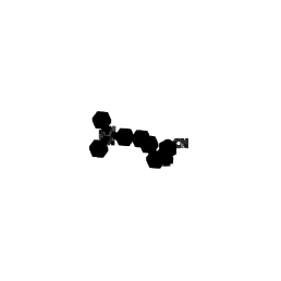 CC1(C)c2cc(C#N)ccc2-c2c(-c3ccc4ccc(-c5ccc(-c6nc(-c7ccccc7)nc(-c7ccccc7)n6)cc5)cc4c3)cccc21